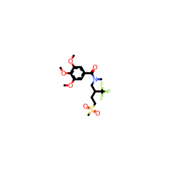 COc1cc(C(=O)N(C)CC(CCS(C)(=O)=O)C(F)(F)F)cc(OC)c1OC